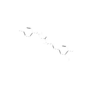 Cc1cc(C=NNC(=O)CNc2ccc(Cl)cc2)ccc1F